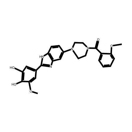 COc1ccccc1C(=O)N1CCN(c2ccc3[nH]c(-c4cc(O)c(O)c(OC)c4)nc3c2)CC1